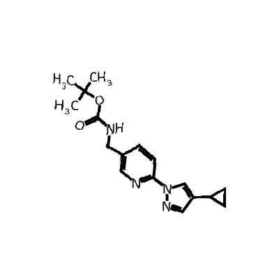 CC(C)(C)OC(=O)NCc1ccc(-n2cc(C3CC3)cn2)nc1